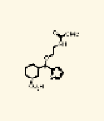 COC(=O)NCCO[C@@H](c1cccs1)C1CCCN(C(=O)O)C1